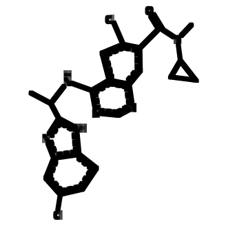 CC(Nc1ncnc2cc(C(=O)N(C)C3CC3)c(Cl)cc12)c1nc2cc(Cl)ccc2[nH]1